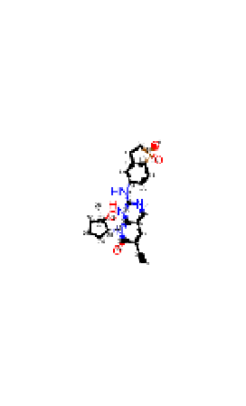 C#Cc1cc2cnc(Nc3ccc4c(c3)CCS4(=O)=O)nc2n([C@@H]2CCC[C@@]2(C)O)c1=O